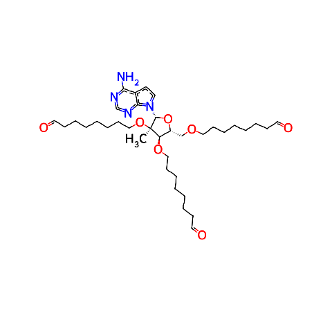 C[C@@]1(OCCCCCCCC=O)[C@H](OCCCCCCCC=O)[C@@H](COCCCCCCCC=O)O[C@H]1n1ccc2c(N)ncnc21